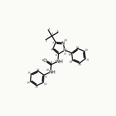 CC(C)(C)c1cc(NC(=O)Nc2ccccc2)n(-c2[c]cccc2)n1